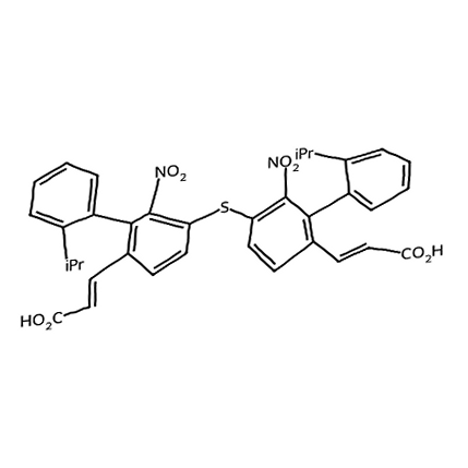 CC(C)c1ccccc1-c1c(/C=C/C(=O)O)ccc(Sc2ccc(/C=C/C(=O)O)c(-c3ccccc3C(C)C)c2[N+](=O)[O-])c1[N+](=O)[O-]